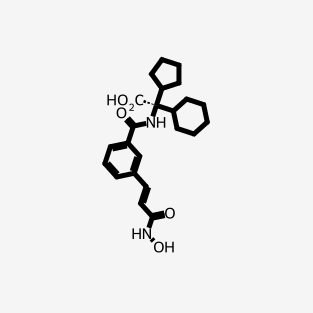 O=C(C=Cc1cccc(C(=O)N[C@](C(=O)O)(C2CCCCC2)C2CCCC2)c1)NO